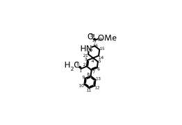 C=CC1=CC2(CC=C1c1ccccc1)CC[C@@H](C(=O)OC)NC2